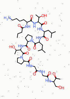 CCCC(=O)NC(CCCCN)C(=O)NC(C(=O)NC(CC(C)C)C(=O)NC(CC(C)C)C(=O)N1CCCC1C(=O)NC(C(=O)N1CCCC1C(=O)NCC(=O)NCC(=O)NC(CO)C(C)=O)C(C)O)C(C)O